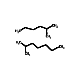 CCCCC(C)C.CCCCCC(C)C